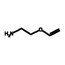 C=COCCN